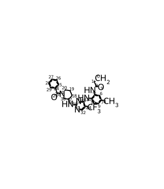 C=CC(=O)Nc1cc(C)ccc1Nc1nc(NC2CCCN(C(=O)c3ccccc3)C2)ncc1C(F)(F)F